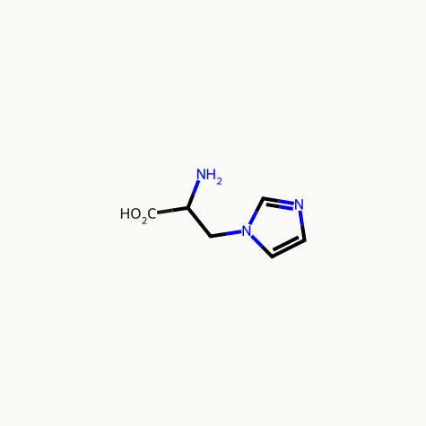 NC(Cn1ccnc1)C(=O)O